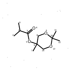 CC(C)C(=O)OC1(C)COC(C)(C)OC1